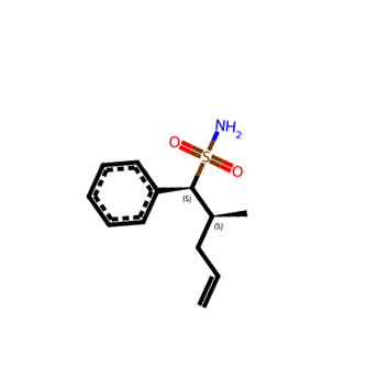 C=CC[C@H](C)[C@@H](c1ccccc1)S(N)(=O)=O